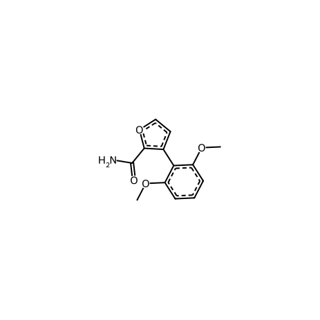 COc1cccc(OC)c1-c1ccoc1C(N)=O